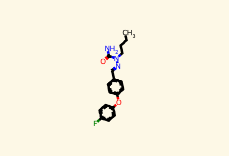 CCCCN(N=Cc1ccc(Oc2ccc(F)cc2)cc1)C(N)=O